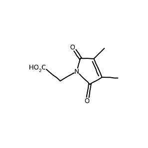 CC1=C(C)C(=O)N(CC(=O)O)C1=O